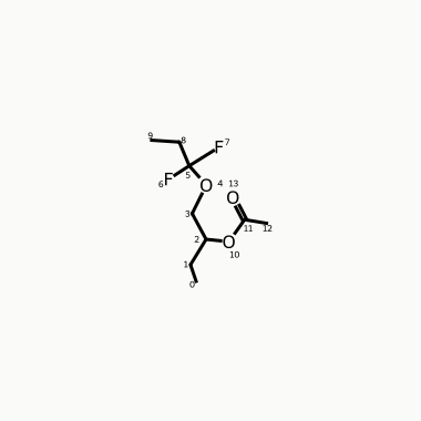 CCC(COC(F)(F)CC)OC(C)=O